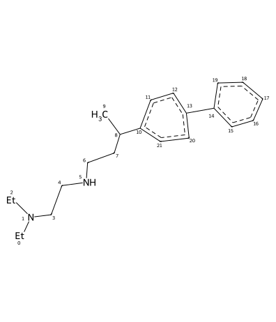 CCN(CC)CCNCCC(C)c1ccc(-c2ccccc2)cc1